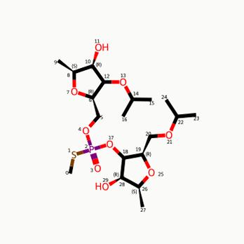 CSP(=O)(OC[C@H]1O[C@@H](C)[C@@H](O)C1OC(C)C)OC1[C@@H](COC(C)C)O[C@@H](C)[C@H]1O